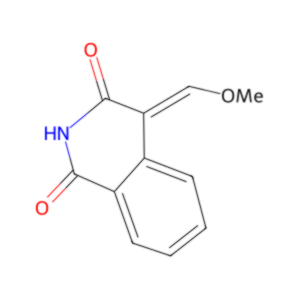 CO/C=C1/C(=O)NC(=O)c2ccccc21